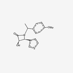 COc1ccc(C(C)N2C(=O)[C@H](O)[C@@H]2c2ccsc2)cc1